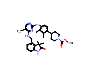 Cc1c(Nc2ncc(C(F)(F)F)c(NCc3cccc4c3C(C)(C)C(=O)N4)n2)ccc(C2CCN(C(=O)OC(C)(C)C)CC2)c1C